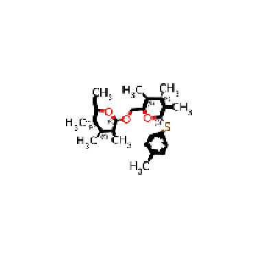 CCC1O[C@@H](OCC2O[C@@H](Sc3ccc(C)cc3)C(C)[C@@H](C)[C@@H]2C)C(C)[C@@H](C)[C@@H]1C